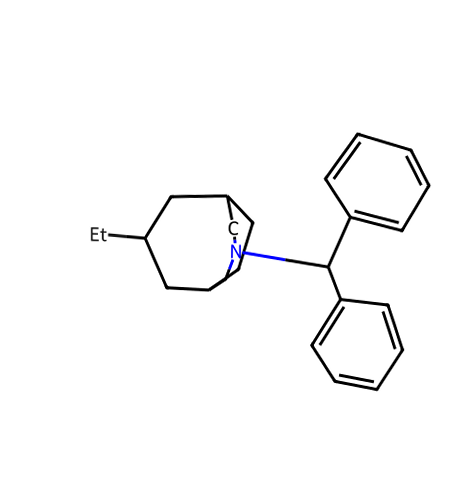 CCC1CC2CCC(C1)CN(C(c1ccccc1)c1ccccc1)C2